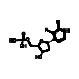 O=c1[nH]ccc([C@@H]2C[C@H](O)[C@@H](COP(=O)(O)O)O2)c1F